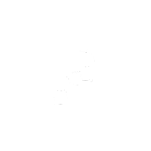 Nc1cc(N2CCOCC2)ncc1C1CCSC(O)(O)C1